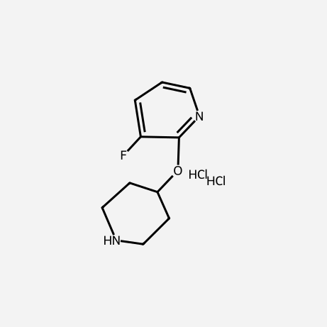 Cl.Cl.Fc1cccnc1OC1CCNCC1